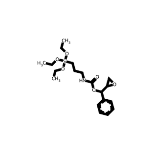 CCO[Si](CCCNC(=O)OC(c1ccccc1)C1CO1)(OCC)OCC